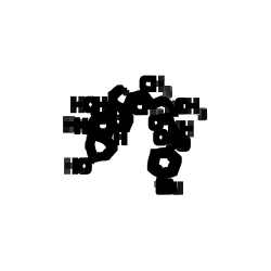 CC[C@@H]1C2C[C@H](O)CCC2(C)[C@H]2CCC3(C)[C@@H]([C@H](C)CCN(C)C(=O)NS(=O)(=O)c4ccc(C(C)(C)C)cc4)CC[C@H]3[C@@H]2[C@@H]1O